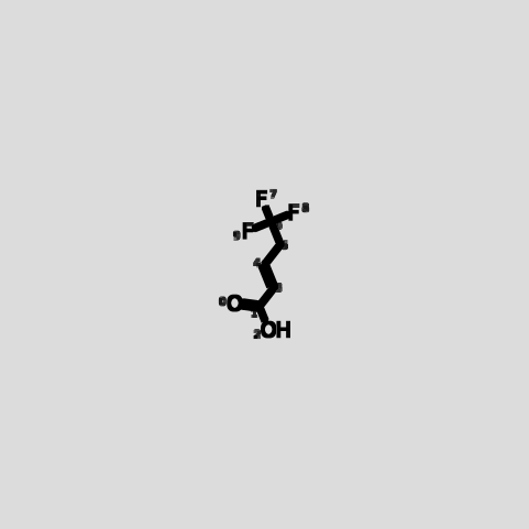 O=C(O)C=CCC(F)(F)F